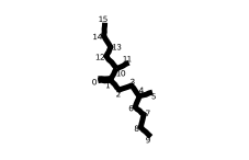 C=C(CCC(C)CCCC)C(C)CCCC